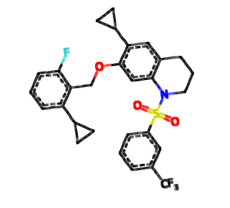 O=S(=O)(c1cccc(C(F)(F)F)c1)N1CCCc2cc(C3CC3)c(OCc3c(F)cccc3C3CC3)cc21